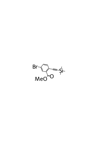 COC(=O)c1cc(Br)ccc1C#C[Si](C)(C)C